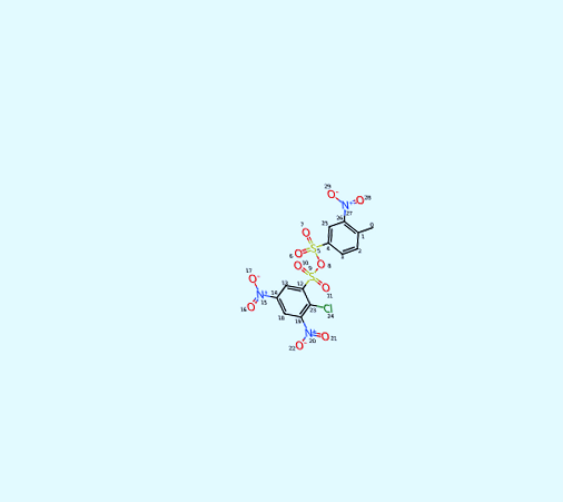 Cc1ccc(S(=O)(=O)OS(=O)(=O)c2cc([N+](=O)[O-])cc([N+](=O)[O-])c2Cl)cc1[N+](=O)[O-]